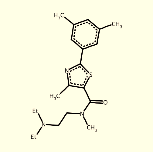 CCN(CC)CCN(C)C(=O)c1sc(-c2cc(C)cc(C)c2)nc1C